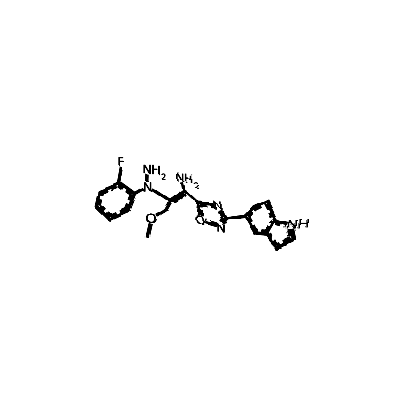 COC/C(=C(/N)c1nc(-c2ccc3[nH]ccc3c2)no1)N(N)c1ccccc1F